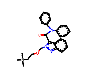 C[Si](C)(C)CCOCn1nc2ccccc2c1C(=O)N(c1ccccc1)c1ccccc1